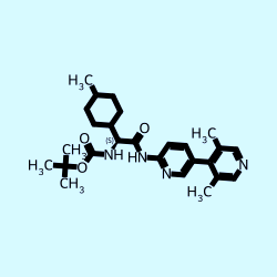 Cc1cncc(C)c1-c1ccc(NC(=O)[C@@H](NC(=O)OC(C)(C)C)C2CCC(C)CC2)nc1